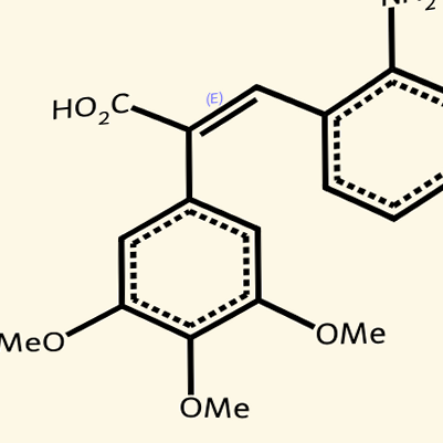 COc1cc(/C(=C\c2ccccc2N)C(=O)O)cc(OC)c1OC